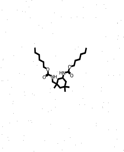 CCCCCCOC(=O)NCC1(C)CC(NC(=O)OCCCCCC)CC(C)(C)C1